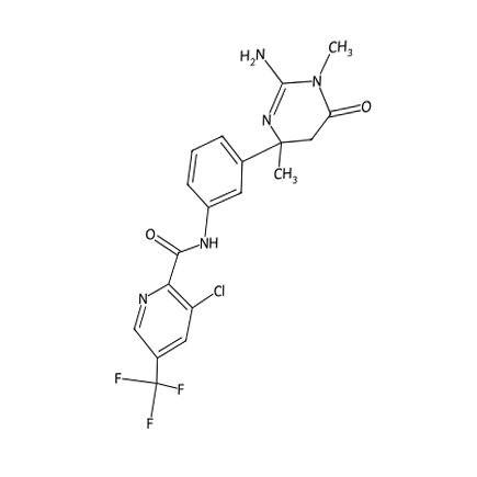 CN1C(=O)CC(C)(c2cccc(NC(=O)c3ncc(C(F)(F)F)cc3Cl)c2)N=C1N